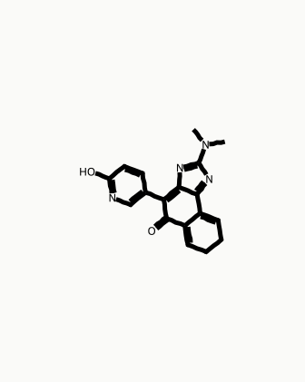 CN(C)C1=NC2=C(c3ccc(O)nc3)C(=O)C3=CCCC=C3C2=N1